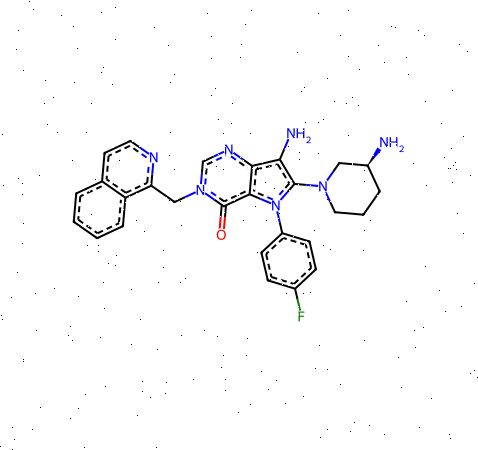 Nc1c(N2CCC[C@H](N)C2)n(-c2ccc(F)cc2)c2c(=O)n(Cc3nccc4ccccc34)cnc12